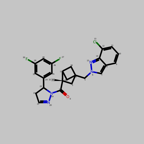 O=C([C@H]1CC2(Cn3cc4cccc(Cl)c4n3)CC1C2)N1N=CCC1c1cc(F)cc(F)c1